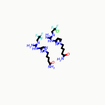 NC(=O)CCCCn1ccc(NC(N)=NCC(F)(F)Cl)n1.NC(=O)CCCCn1ncc(NC(N)=NCC(F)(F)F)n1